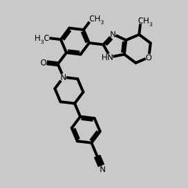 Cc1cc(C)c(-c2nc3c([nH]2)COCC3C)cc1C(=O)N1CCC(c2ccc(C#N)cc2)CC1